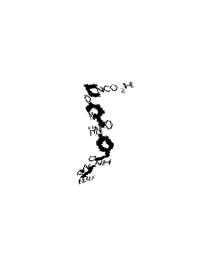 CC(C)(C)c1cc(NC(=O)Cc2ccc(NC(=O)c3ccc(OC4CCN(C(=O)O)C4)cn3)cc2)no1